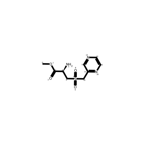 COC(=O)[C@@H](N)CS(=O)(=O)Cc1cnccn1